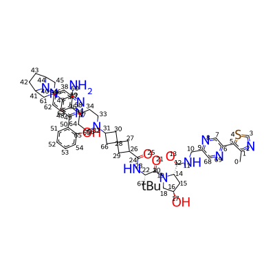 Cc1ncsc1-c1cnc(CNC(=O)[C@@H]2C[C@@H](O)CN2C(=O)[C@@H](NC(=O)C2CC3(C2)CC(N2CCC(c4ccc(N5C6CCC5CN(c5cc(-c7ccccc7O)nnc5N)C6)cc4)CC2)C3)C(C)(C)C)cn1